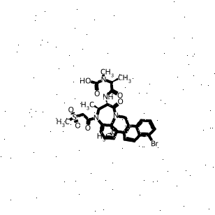 COc1ccc2c(Br)cccc2c1CN1C(=O)[C@@H](NC(=O)[C@H](C)N(C)C(=O)O)[C@H](C)N(C(=O)CS(C)(=O)=O)c2ccccc21